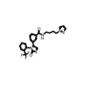 O=C(NCCCCn1cccn1)c1cccc(-c2csc(=O)n2-c2ccccc2C(F)(F)F)c1